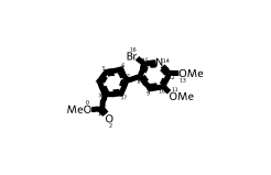 COC(=O)c1cccc(-c2cc(OC)c(OC)nc2Br)c1